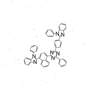 c1ccc(-c2nc(-c3ccc(-c4nc5ccccc5n4-c4ccccc4)cc3)nc(-c3ccc(-c4nc5ccccc5n4-c4ccccc4)c4ccccc34)n2)cc1